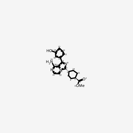 COC(=O)[C@H]1CC[C@H](c2nc(-c3cccc(O)c3)c3c(N)nccn32)CC1